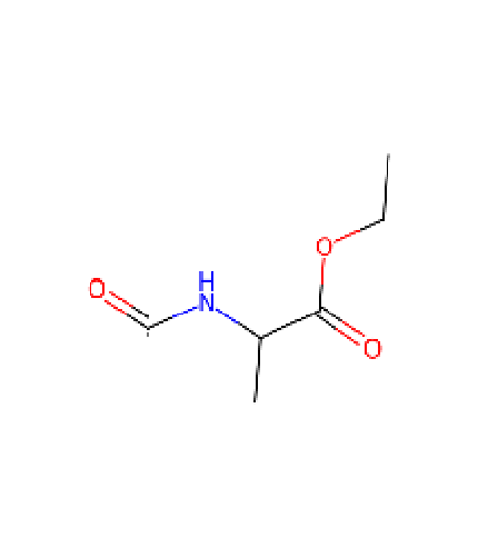 CCOC(=O)C(C)N[C]=O